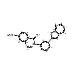 COc1ccc(C(=O)Nc2cccc(-c3cc4cccnc4o3)c2)c(OC)c1